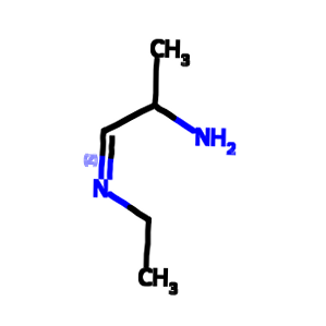 CC/N=C\C(C)N